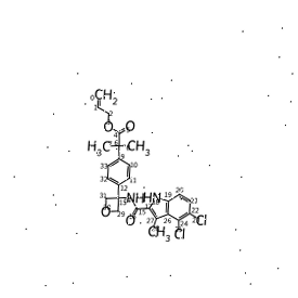 C=CCOC(=O)C(C)(C)c1ccc(C2(NC(=O)c3[nH]c4ccc(Cl)c(Cl)c4c3C)COC2)cc1